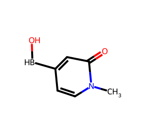 Cn1ccc(BO)cc1=O